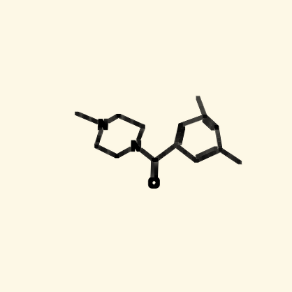 Cc1cc(C)cc(C(=O)N2CCN(C)CC2)c1